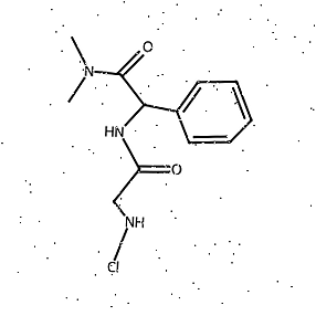 CN(C)C(=O)C(NC(=O)CNCl)c1ccccc1